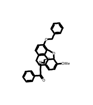 COC1=CC=C2C3Cc4ccc(OCc5ccccc5)c5c4[C@@]2(CCN3C(=O)c2ccccc2)C1O5